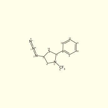 [N-]=[N+]=NC1CN(C(F)(F)F)C(c2ccccc2)S1